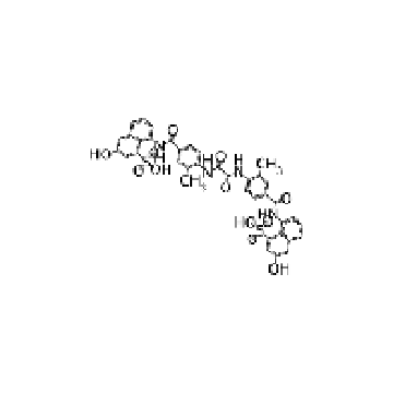 Cc1cc(C(=O)Nc2cccc3cc(O)cc(S(=O)(=O)O)c23)ccc1NC(=O)C(=O)Nc1ccc(C(=O)Nc2cccc3cc(O)cc(S(=O)(=O)O)c23)cc1C